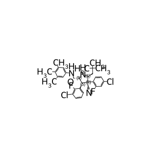 Cc1cc(NC(=O)[C@@H]2N[C@@H](CC(C)(C)C)[C@](C#N)(c3ccc(Cl)cc3F)[C@H]2c2cccc(Cl)c2F)cc(C)c1C